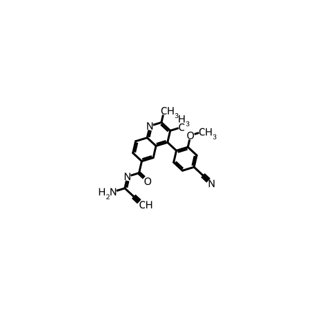 C#C/C(N)=N\C(=O)c1ccc2nc(C)c(C)c(-c3ccc(C#N)cc3OC)c2c1